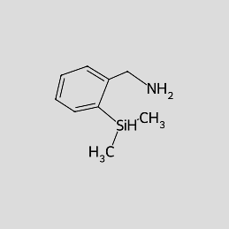 C[SiH](C)c1ccccc1CN